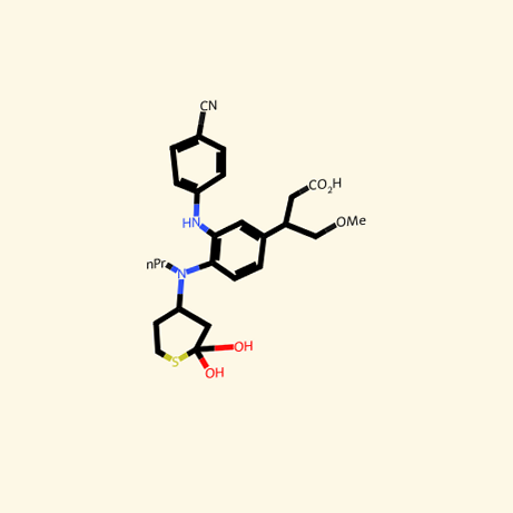 CCCN(c1ccc(C(COC)CC(=O)O)cc1Nc1ccc(C#N)cc1)C1CCSC(O)(O)C1